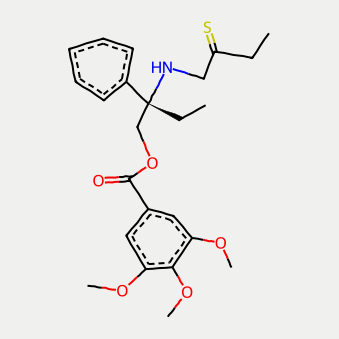 CCC(=S)CN[C@](CC)(COC(=O)c1cc(OC)c(OC)c(OC)c1)c1ccccc1